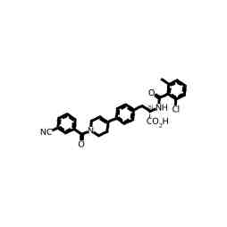 Cc1cccc(Cl)c1C(=O)N[C@@H](Cc1ccc(C2=CCN(C(=O)c3cccc(C#N)c3)CC2)cc1)C(=O)O